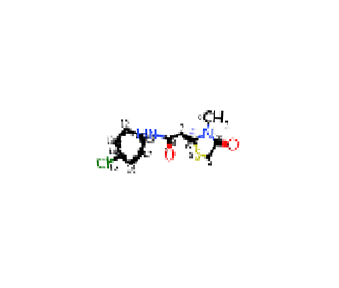 CN1C(=O)CS/C1=C\C(=O)Nc1ccc(Cl)cc1